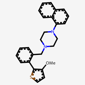 COc1ccsc1-c1ccccc1CN1CCN(c2cccc3ccccc23)CC1